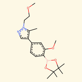 COCCn1ncc(-c2ccc(B3OC(C)(C)C(C)(C)O3)c(OC)c2)c1C